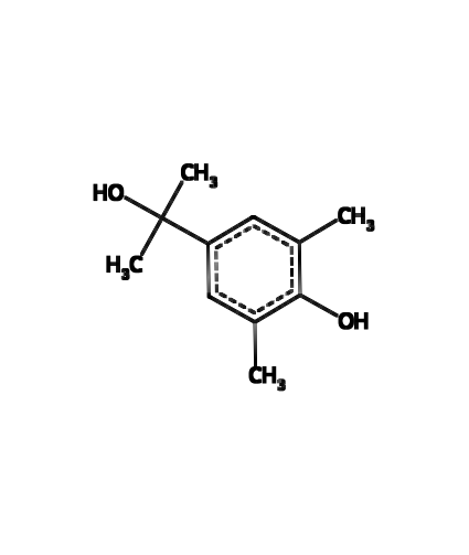 Cc1cc(C(C)(C)O)cc(C)c1O